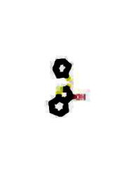 Oc1c(Sc2ccccc2)sc2ccccc12